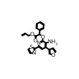 C=CCOC(=O)C(Oc1nc(-c2nccs2)cc(-c2ccoc2)c1N)c1ccccc1